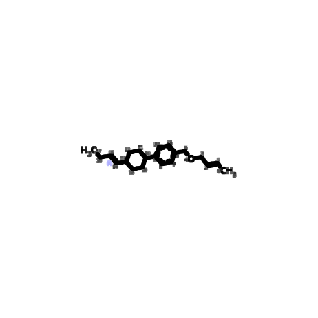 CC=CCOCc1ccc(C2CCC(/C=C/CC)CC2)cc1